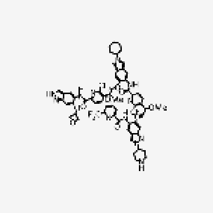 COC(COc1cc2nn(C3CCNCC3)cc2cc1NC(=O)c1cccc(C(F)(F)F)n1)c1ccc(C(=O)Nc2cc3cn(C4CCCCC4)nc3cc2OCC(OC)c2ccc(C(=O)Nc3cc4c[nH]nc4cc3OC3COC3)nc2C(F)(F)F)nc1C(F)(F)F